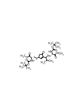 COC(=O)[C@H](CSC1C=C(C(SC[C@H](NC(=O)OC(C)(C)C)C(=O)OC)C(C)C)C(=O)C1)NC(=O)OC(C)(C)C